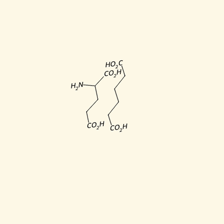 NC(CCC(=O)O)C(=O)O.O=C(O)CCCCC(=O)O